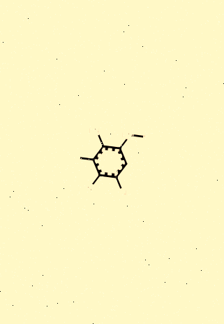 CNc1cc(S)c(N)c(C)c1N